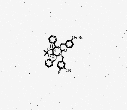 CCCCOc1cccc(CN2C(=O)N(Cc3ccc(F)c(C#N)c3)[C@H](Cc3ccccc3)[C@@H]3OC(C)(C)O[C@H]3C2c2ccccc2)c1